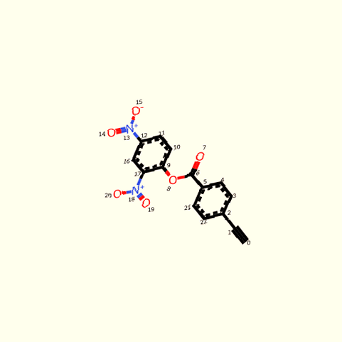 C#Cc1ccc(C(=O)Oc2ccc([N+](=O)[O-])cc2[N+](=O)[O-])cc1